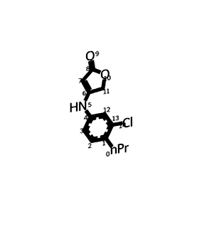 CCCc1ccc(NC2=CC(=O)OC2)cc1Cl